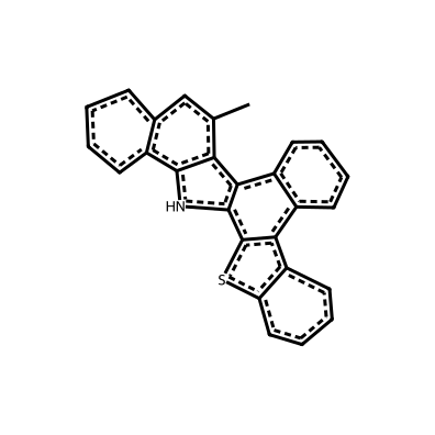 Cc1cc2ccccc2c2[nH]c3c4sc5ccccc5c4c4ccccc4c3c12